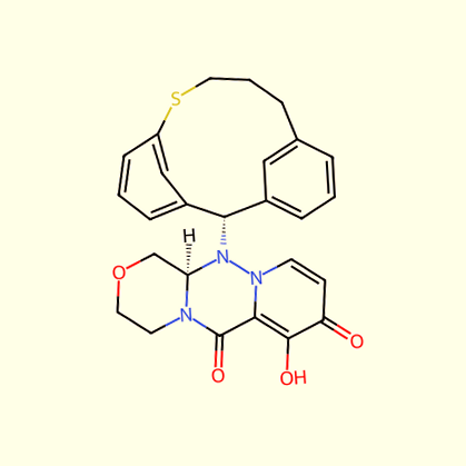 O=C1c2c(O)c(=O)ccn2N([C@H]2c3cccc(c3)CCCSc3cccc2c3)[C@@H]2COCCN12